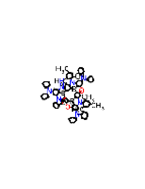 Cc1cc(C)c(N2c3cc4c(cc3B3c5cc6c(cc5Oc5cc(N(c7ccccc7)c7ccccc7)cc2c53)N(c2c(C)cc(C)cc2C)c2cc(N(c3ccccc3)c3ccccc3)cc3c2B6c2ccccc2O3)B2c3c(cc(N(c5ccccc5)c5ccccc5)cc3-n3c5ccccc5c5cccc2c53)N4)c(C)c1